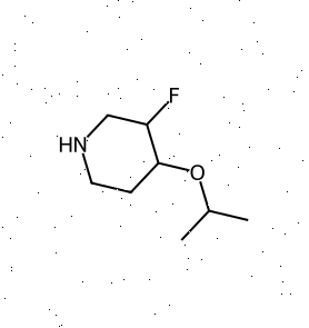 CC(C)OC1CCNCC1F